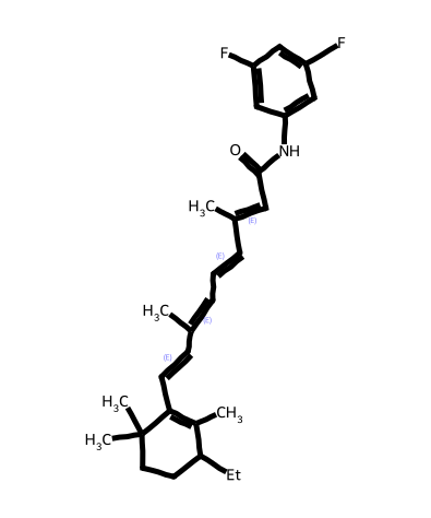 CCC1CCC(C)(C)C(/C=C/C(C)=C/C=C/C(C)=C/C(=O)Nc2cc(F)cc(F)c2)=C1C